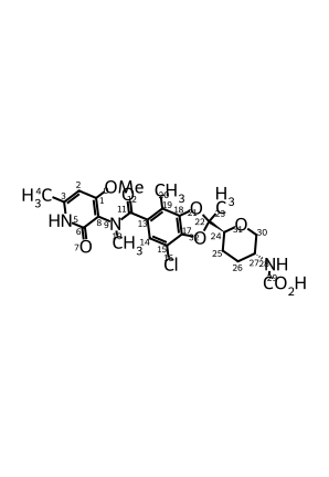 COc1cc(C)[nH]c(=O)c1N(C)C(=O)c1cc(Cl)c2c(c1C)OC(C)([C@@H]1CC[C@@H](NC(=O)O)CO1)O2